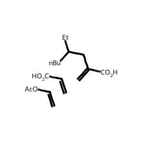 C=C(CC(CC)CCCC)C(=O)O.C=CC(=O)O.C=COC(C)=O